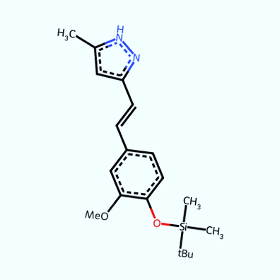 COc1cc(C=Cc2cc(C)[nH]n2)ccc1O[Si](C)(C)C(C)(C)C